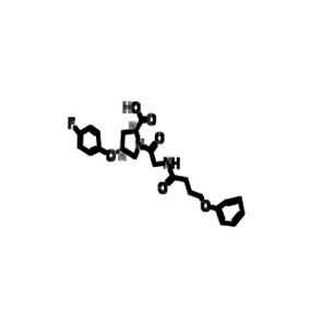 O=C(CCCOc1ccccc1)NCC(=O)N1C[C@H](Oc2ccc(F)cc2)C[C@H]1C(=O)O